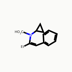 CCC(=Cc1ccccc1)N(C(=O)O)C1CC1